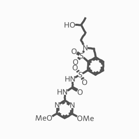 COc1cc(OC)nc(NC(=O)NS(=O)(=O)c2cccc3c2S(=O)(=O)N(CCC(C)O)C3)n1